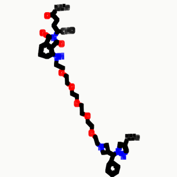 CNC(=O)CCC(C=O)N1C(=O)c2cccc(NCCOCCOCCOCCOCCOCCN3CC(C(c4ccccc4)n4cc(NC)cn4)C3)c2C1=O